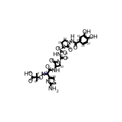 CC(C)(O/N=C(/C(=O)NC1CN(C(=O)NS(=O)(=O)N2CCN(NC(=O)c3ccc(O)c(O)c3)C2=O)C1=O)c1csc(N)n1)C(=O)O